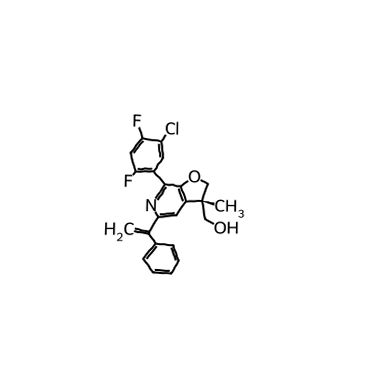 C=C(c1ccccc1)c1cc2c(c(-c3cc(Cl)c(F)cc3F)n1)OC[C@]2(C)CO